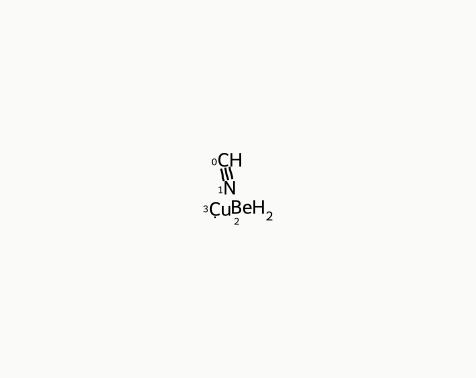 C#N.[BeH2].[Cu]